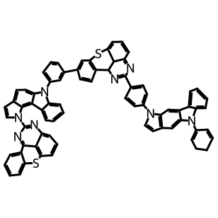 C1=CC2=NC(c3ccc(-n4ccc5cc6c(cc54)c4ccccc4n6C4=CCCC=C4)cc3)=NC3c4ccc(-c5cccc(-n6c7ccccc7c7c8c(ccc76)ccn8-c6nc7c8c(cccc8n6)Sc6ccccc6-7)c5)cc4SC(=C1)C23